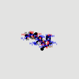 CC[C@H](C)[C@H](NC(=O)[C@@H]1C[C@@H](O)CN1C(=O)[C@@H](N)C(C)C)C(=O)N[C@H](C(=O)N[C@@H](Cc1ccc(O)cc1)C(=O)N[C@H](C(=O)N[C@@H](CC(N)=O)C(=O)N[C@@H](CCCNC(=N)N)C(=O)N[C@@H](CCN)C(=O)N[C@H](C(=O)N[C@H](CCN)C(=O)N[C@@H](Cc1c[nH]c2ccccc12)C(=O)N[C@@H](CS)C(=O)N[C@@H](CCN)C(=O)N[C@@H](CCCNC(=N)N)C(=O)N[C@@H](Cc1ccc(O)cc1)C(=O)O)[C@@H](C)O)C(C)(C)S)[C@@H](C)O